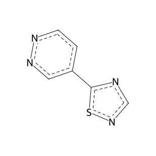 c1cc(-c2ncns2)cnn1